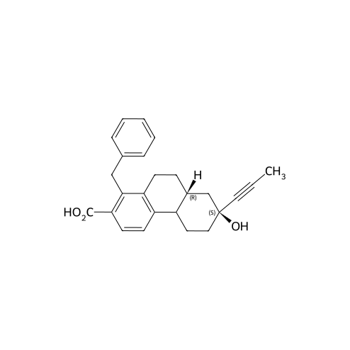 CC#C[C@]1(O)CCC2c3ccc(C(=O)O)c(Cc4ccccc4)c3CC[C@@H]2C1